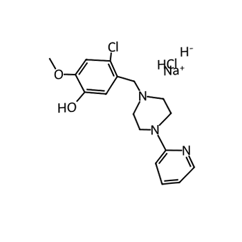 COc1cc(Cl)c(CN2CCN(c3ccccn3)CC2)cc1O.Cl.[H-].[Na+]